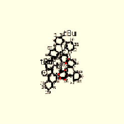 CC(C)(C)c1ccc2c(c1)C1(c3ccccc3-c3ccc(N(C4=c5c(oc6c5ccc5ccccc56)=CCC4)c4ccccc4-c4ccccc4-c4ccccc4-c4ccccc4)cc31)c1cc(C(C)(C)C)ccc1-2